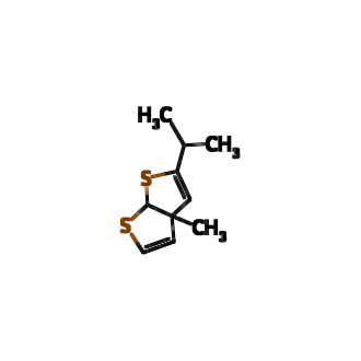 CC(C)C1=CC2(C)C=CSC2S1